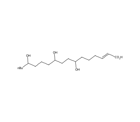 CCCCC(O)CCCC(O)CCC(O)CCCC=CC(=O)O